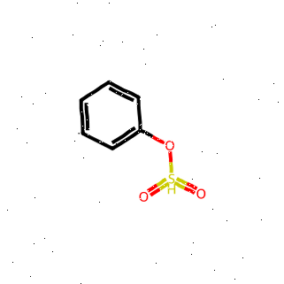 O=[SH](=O)Oc1c[c]ccc1